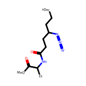 CCCCCCCCCCCCC(CCC(=O)NC(CC)C(=O)OC)N=[N+]=[N-]